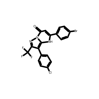 O=c1cc(-c2ccc(Br)cc2)[nH]c2c(-c3ccc(Cl)cc3)c(C(F)(F)F)nn12